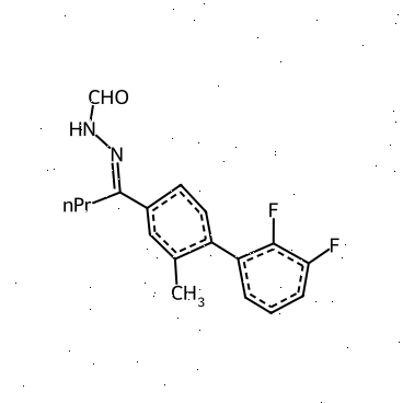 CCC/C(=N\NC=O)c1ccc(-c2cccc(F)c2F)c(C)c1